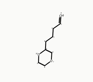 [CH]=CCCCC1COCCO1